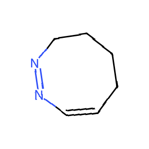 C1=CN=NCCCC1